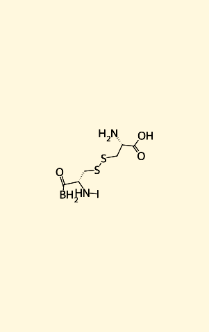 BC(=O)[C@H](CSSC[C@H](N)C(=O)O)NI